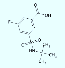 CC(C)(C)NS(=O)(=O)c1cc(F)cc(C(=O)O)c1